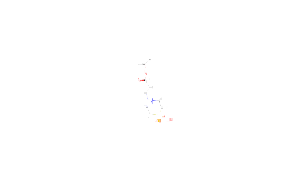 CC(C)OC(=O)CCN1CCS(=O)(=O)CC1